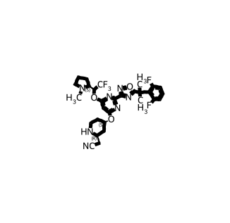 CN1CCC[C@H]1C(Oc1cc(O[C@H]2CCN[C@H](CC#N)C2)nc(-c2noc(C(C)(C)c3c(F)cccc3F)n2)n1)C(F)(F)F